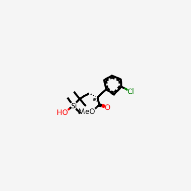 COC(=O)[C@H](CC(C)(C)[Si](C)(C)O)c1cccc(Cl)c1